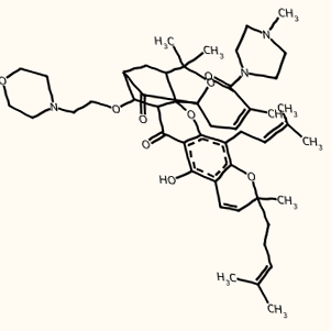 CC(C)=CCCC1(C)C=Cc2c(O)c3c(c(CC=C(C)C)c2O1)OC12C(C3=O)C(OCCN3CCOCC3)C3CC1C(C)(C)OC2(C/C=C(/C)C(=O)N1CCN(C)CC1)C3=O